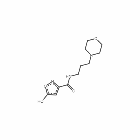 O=C(NCCCN1CCOCC1)c1cc(O)on1